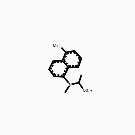 COc1cccc2c(N(C)C(C)C(=O)O)cccc12